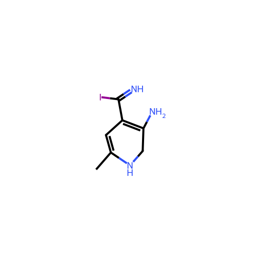 CC1=CC(C(=N)I)=C(N)CN1